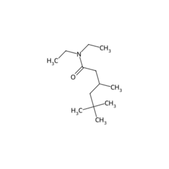 CCN(CC)C(=O)CC(C)CC(C)(C)C